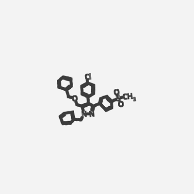 CS(=O)(=O)c1ccc(-c2nn(Cc3ccccc3)c(COCc3ccccc3)c2-c2ccc(Cl)cc2)cc1